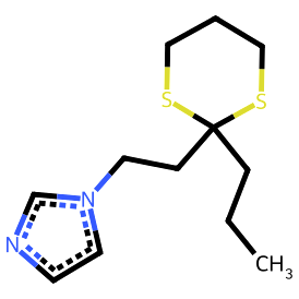 CCCC1(CCn2ccnc2)SCCCS1